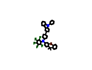 CC1(C)c2ccccc2Sc2cc(N(c3ccc(-c4ccc5c(c4)c4ccccc4n5-c4ccccc4)cc3)c3c(F)c(F)c(F)c(F)c3F)ccc21